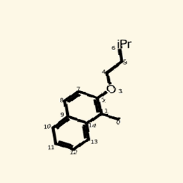 Cc1c(OCCC(C)C)ccc2ccccc12